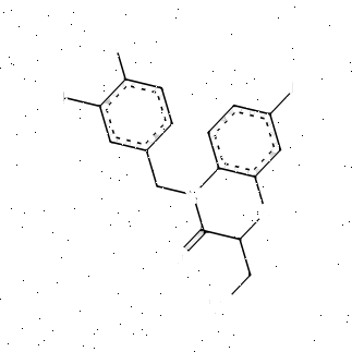 O=C(O)CC1Sc2cc(F)ccc2N(Cc2ccc(Cl)c(Cl)c2)C1=O